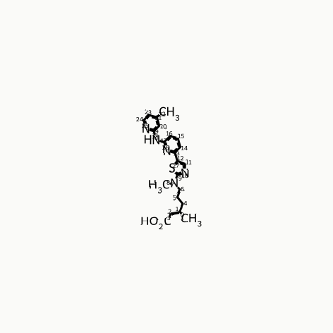 CC(=CC(=O)O)CCCN(C)c1ncc(-c2cccc(Nc3cc(C)ccn3)n2)s1